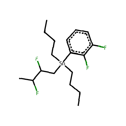 CCC[CH2][Sn]([CH2]CCC)([CH2]C(F)C(C)F)[c]1cccc(F)c1F